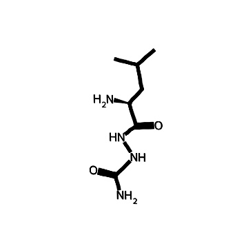 CC(C)C[C@H](N)C(=O)NNC(N)=O